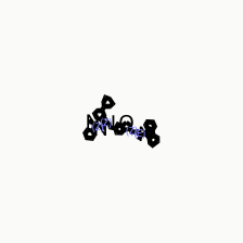 C=N/C(=N\C(=N/Cc1ccc2c(c1)OC/C2=C\C=C(/C)n1c2ccccc2c2ccccc21)C1=CC(C2=CCCC=C2)=CCC1)C1C=CC=CC1